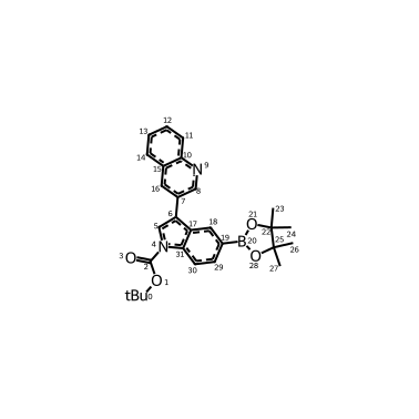 CC(C)(C)OC(=O)n1cc(-c2cnc3ccccc3c2)c2cc(B3OC(C)(C)C(C)(C)O3)ccc21